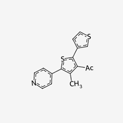 CC(=O)c1c(-c2ccsc2)sc(-c2ccncc2)c1C